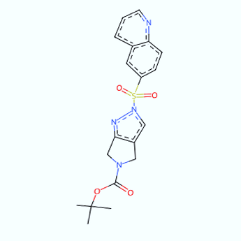 CC(C)(C)OC(=O)N1Cc2cn(S(=O)(=O)c3ccc4ncccc4c3)nc2C1